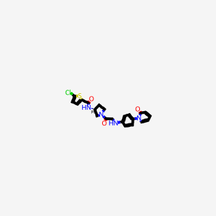 O=C(N[C@@H]1CCN(C(=O)CNc2ccc(-n3ccccc3=O)cc2)C1)c1ccc(Cl)s1